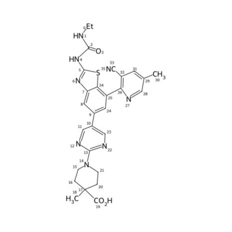 CCNC(=O)Nc1nc2cc(-c3cnc(N4CCC(C)(C(=O)O)CC4)nc3)cc(-c3ncc(C)cc3C#N)c2s1